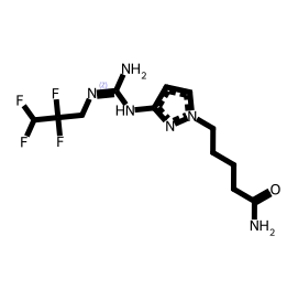 NC(=O)CCCCn1ccc(N/C(N)=N\CC(F)(F)C(F)F)n1